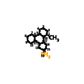 Cc1cccc2c3ccccc3c3ccccc3c12.P